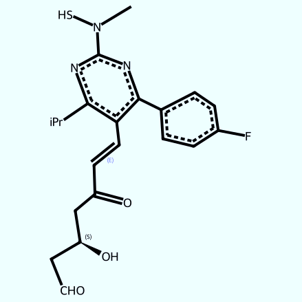 CC(C)c1nc(N(C)S)nc(-c2ccc(F)cc2)c1/C=C/C(=O)C[C@@H](O)CC=O